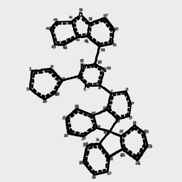 c1ccc(-c2nc(-c3cccc4c3-c3ccccc3C43c4ccccc4-c4ccccc43)nc(-c3cccc4oc5ccccc5c34)n2)cc1